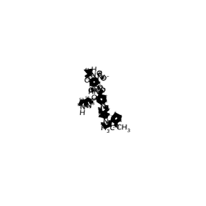 CC(C)c1ccccc1[C@@H]1CCCN1C1CC2(CCN(c3ccc(C(=O)NS(=O)(=O)c4cc5c(c([N+](=O)[O-])c4)NC4(CC4)CO5)c(Oc4cnc5[nH]ccc5c4)c3)CC2)C1